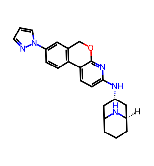 c1cnn(-c2ccc3c(c2)COc2nc(N[C@H]4CC5CCC[C@H](C4)N5)ccc2-3)c1